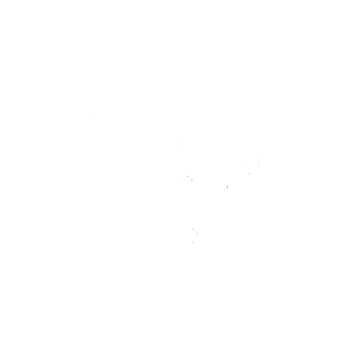 CCCCn1cncc1C